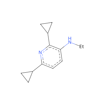 CCNc1ccc(C2CC2)nc1C1CC1